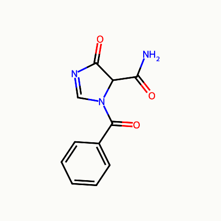 NC(=O)C1C(=O)N=CN1C(=O)c1ccccc1